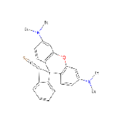 CCN(CC)c1ccc2c(c1)Oc1cc(N(CC)CC)ccc1C21C(=C=S)c2ccccc21